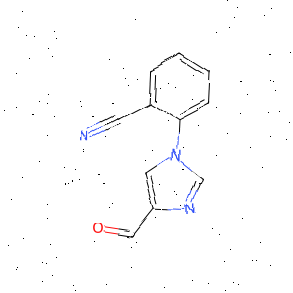 N#Cc1ccccc1-n1cnc(C=O)c1